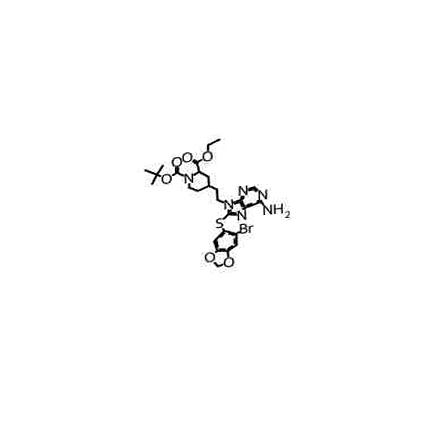 CCOC(=O)C1CC(CCn2c(Sc3cc4c(cc3Br)OCO4)nc3c(N)ncnc32)CCN1C(=O)OC(C)(C)C